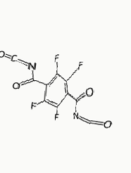 O=C=NC(=O)c1c(F)c(F)c(C(=O)N=C=O)c(F)c1F